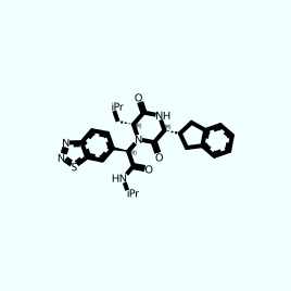 CC(C)C[C@@H]1C(=O)N[C@H](C2Cc3ccccc3C2)C(=O)N1[C@@H](C(=O)NC(C)C)c1ccc2nnsc2c1